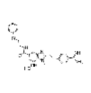 Cl.Cl.Cn1c(CCc2ccc(C(=N)N)cc2)nc2cc(C(=O)NCCNc3ccccc3)ccc21